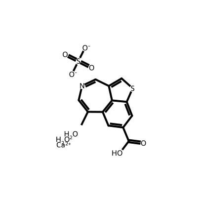 CC1=CN=Cc2csc3cc(C(=O)O)cc1c23.O.O.O=S(=O)([O-])[O-].[Ca+2]